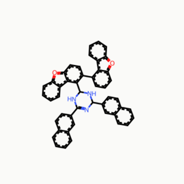 c1ccc2cc(C3=NC(c4ccc5ccccc5c4)NC(c4c(-c5cccc6oc7ccccc7c56)ccc5oc6ccccc6c45)N3)ccc2c1